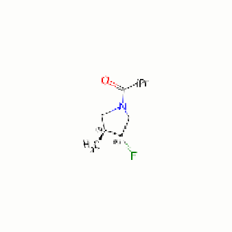 CC(C)C(=O)N1C[C@H](C)[C@@H](F)C1